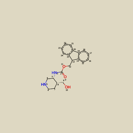 O=C(N[C@H]1CNCC[C@H]1CO)OCC1c2ccccc2-c2ccccc21